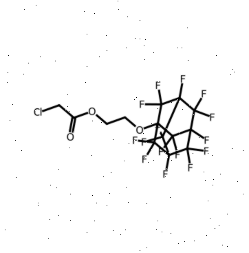 O=C(CCl)OCCOC12C(F)(F)C3(F)C(F)(F)C(F)(C(F)(F)C(F)(C3(F)F)C1(F)F)C2(F)F